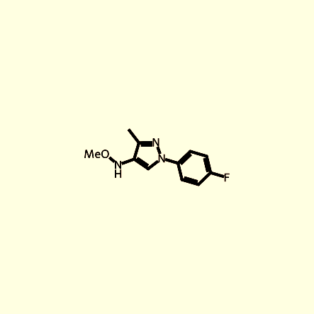 CONc1cn(-c2ccc(F)cc2)nc1C